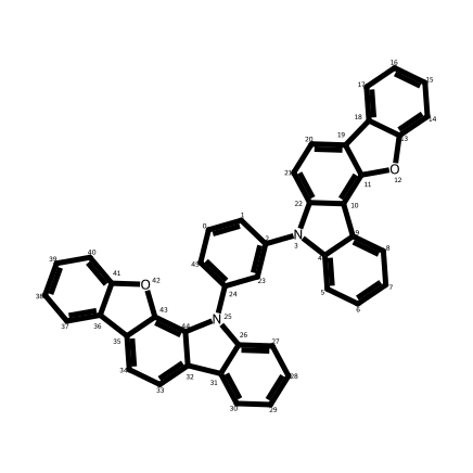 c1cc(-n2c3ccccc3c3c4oc5ccccc5c4ccc32)cc(-n2c3ccccc3c3ccc4c5ccccc5oc4c32)c1